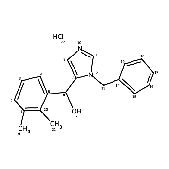 Cc1cccc(C(O)c2cncn2Cc2ccccc2)c1C.Cl